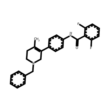 CC1=C(c2ccc(NC(=O)c3c(F)cccc3F)cc2)CN(Cc2ccccc2)CC1